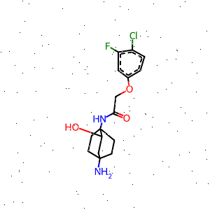 NC12CCC(NC(=O)COc3ccc(Cl)c(F)c3)(CC1)C(O)C2